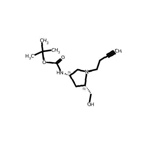 C#CCCN1C[C@@H](NC(=O)OC(C)(C)C)C[C@H]1CO